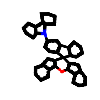 c1ccc2c(c1)-c1cc(-n3c4ccccc4c4ccccc43)ccc1C21c2ccc3ccccc3c2Oc2c1ccc1ccccc21